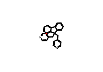 [c]1cc(CC2(Cc3c[c]ncc3)c3ccccc3-c3ccccc32)ccn1